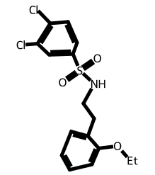 CCOc1ccccc1CCNS(=O)(=O)c1ccc(Cl)c(Cl)c1